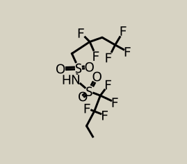 CCC(F)(F)C(F)(F)S(=O)(=O)NS(=O)(=O)CC(F)(F)CC(F)(F)F